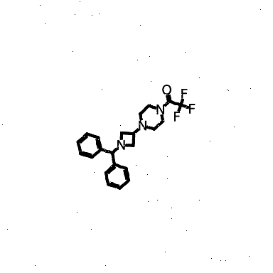 O=C(N1CCN(C2CN(C(c3ccccc3)c3ccccc3)C2)CC1)C(F)(F)F